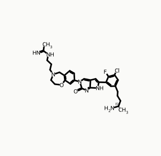 CC(=N)NCCCN1CCOc2cc(-n3cc4cc(-c5cc(CCC[C@H](C)N)cc(Cl)c5F)[nH]c4nc3=O)ccc2C1